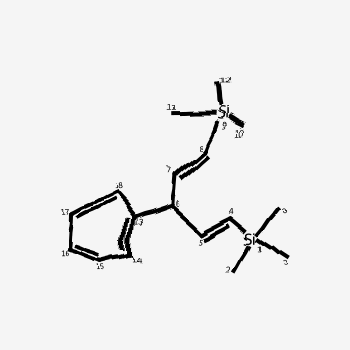 C[Si](C)(C)C=CC(C=C[Si](C)(C)C)c1ccccc1